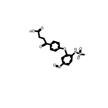 CS(=O)(=O)Nc1ccc(N=O)cc1Oc1ccc(C(=O)CCC(=O)O)cc1